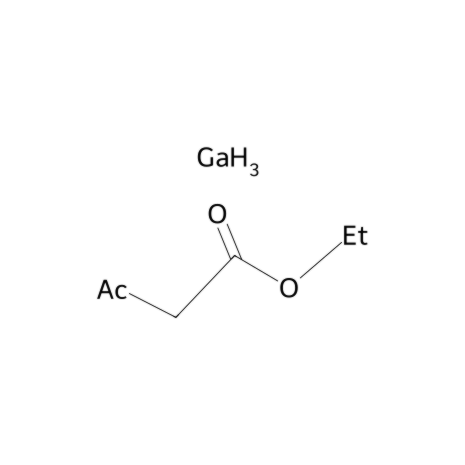 CCOC(=O)CC(C)=O.[GaH3]